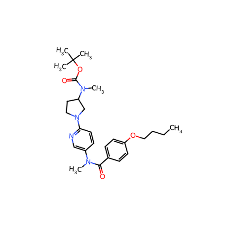 CCCCOc1ccc(C(=O)N(C)c2ccc(N3CCC(N(C)C(=O)OC(C)(C)C)C3)nc2)cc1